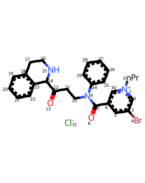 CCC[n+]1cc(Br)cc(C(=O)N(CCC(=O)C2NCCc3ccccc32)c2ccccc2)c1.[Cl-]